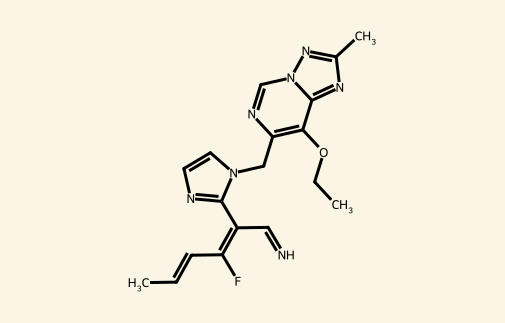 C/C=C/C(F)=C(/C=N)c1nccn1Cc1ncn2nc(C)nc2c1OCC